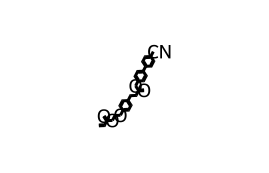 C=CC(=O)OCOc1ccc(CCC(=O)Oc2ccc(-c3ccc(C#N)cc3)cc2)cc1